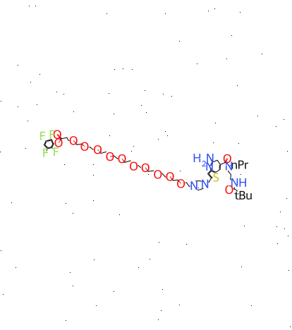 CCCN(CCCNC(=O)CC(C)(C)C)C(=O)C1=Cc2sc(CN3CCN(CCOCCOCCOCCOCCOCCOCCOCCOCCOCCOCCC(=O)Oc4c(F)c(F)cc(F)c4F)CC3)cc2N=C(N)C1